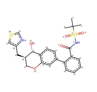 CC(C)(C)S(=O)(=O)NC(=O)c1ccccc1-c1ccc2c(c1)OC[C@@H](Cc1cscn1)[C@@H]2O